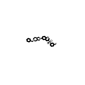 O=S(=O)(c1cccc(F)c1)c1cnc2ccc(N3CC4CCN(Cc5ccccc5)CC4C3)cc2c1